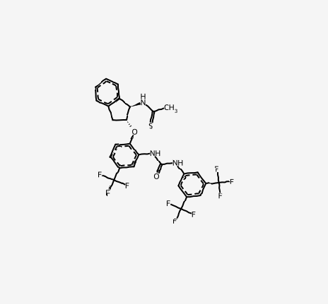 CC(=S)N[C@@H]1c2ccccc2C[C@H]1Oc1ccc(C(F)(F)F)cc1NC(=O)Nc1cc(C(F)(F)F)cc(C(F)(F)F)c1